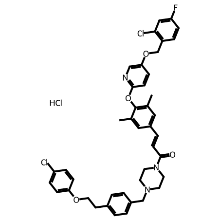 Cc1cc(C=CC(=O)N2CCN(Cc3ccc(CCOc4ccc(Cl)cc4)cc3)CC2)cc(C)c1Oc1ccc(OCc2ccc(F)cc2Cl)cn1.Cl